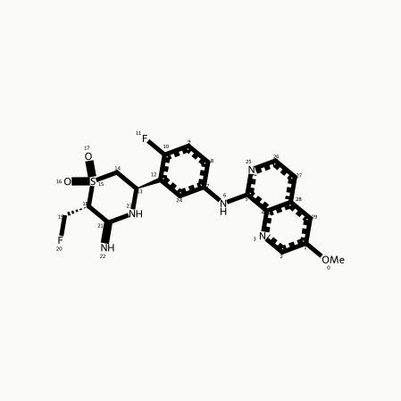 COc1cnc2c(Nc3ccc(F)c([C@@H]4CS(=O)(=O)[C@@H](CF)C(=N)N4)c3)nccc2c1